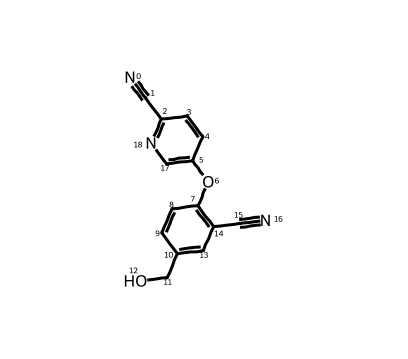 N#Cc1ccc(Oc2ccc(CO)cc2C#N)cn1